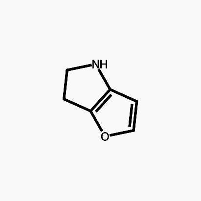 c1cc2c(o1)CCN2